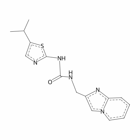 CC(C)c1cnc(NC(=O)NCc2cn3ccccc3n2)s1